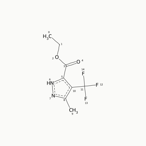 CCOC(=O)c1[nH]nc(C)c1C(F)(F)F